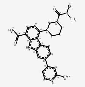 CCN(C)C(=O)[C@H]1CCCN(c2ncc(C(N)=O)c3[nH]c4cc(-c5ccnc(OC)c5)ccc4c23)C1